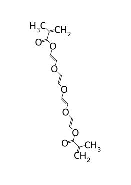 C=C(C)C(=O)OC=COC=COC=COC=COC(=O)C(=C)C